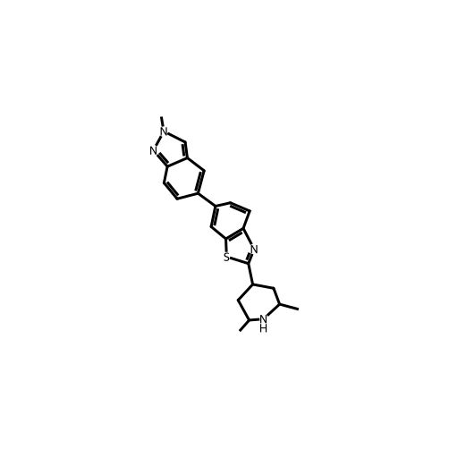 CC1CC(c2nc3ccc(-c4ccc5nn(C)cc5c4)cc3s2)CC(C)N1